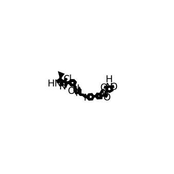 O=C1CCC(N2Cc3cc(C4CCN(CCCN5CCN(c6cccc(-c7cnc8[nH]cc(C9CC9)c8c7Cl)c6)C(=O)C5)CC4)ccc3C2=O)C(=O)N1